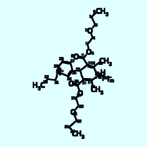 CCCOCCOC(=O)C1=C(C)NC(C)=C(C(=O)OCCOCCC)C1c1ccc[n+](CCC)c1.I.[I-]